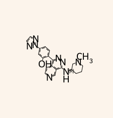 CN1CCC[C@@H](Nc2nnc(-c3ccc(-n4nccn4)cc3O)c3ccncc23)C1